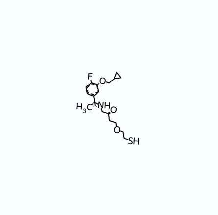 C[C@@H](NCC(=O)CCOCCS)c1ccc(F)c(OCC2CC2)c1